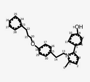 Cc1ccc(-c2ccc(O)cc2)n1CCc1ccc(OCCCc2ccccc2)cc1